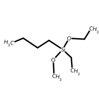 CCCC[Si](CC)(OC)OCC